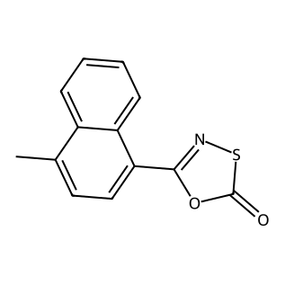 Cc1ccc(-c2nsc(=O)o2)c2ccccc12